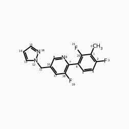 Cc1c(F)ccc(-c2ncc(Cn3cccn3)cc2F)c1F